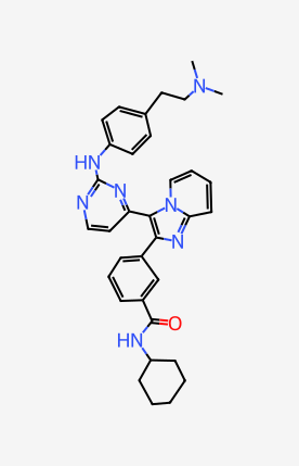 CN(C)CCc1ccc(Nc2nccc(-c3c(-c4cccc(C(=O)NC5CCCCC5)c4)nc4ccccn34)n2)cc1